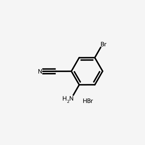 Br.N#Cc1cc(Br)ccc1N